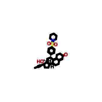 CC#C[C@]1(O)CC[C@H]2[C@@H]3CCC4=CC(=O)CCC4=C3[C@@H](c3ccc(S(=O)(=O)N4CCCCC4)cc3)C[C@@]21C